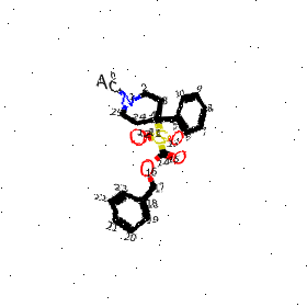 CC(=O)N1CCC(c2ccccc2)(S(=O)(=O)C(=O)OCc2ccccc2)CC1